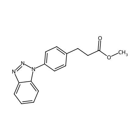 COC(=O)CCc1ccc(-n2nnc3ccccc32)cc1